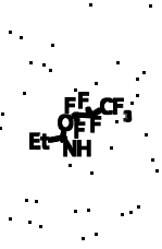 CCC(=N)OC(F)(F)C(F)(F)C(F)(F)F